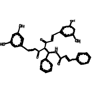 O=C(/C=C/c1ccccc1)NC(c1ccccc1)C(C(=O)/C=C/c1cc(O)cc(O)c1)C(=O)/C=C/c1cc(O)cc(O)c1